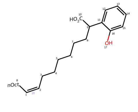 CCCCCCCC/C=C\CCCCCCC(C(=O)O)c1ccccc1O